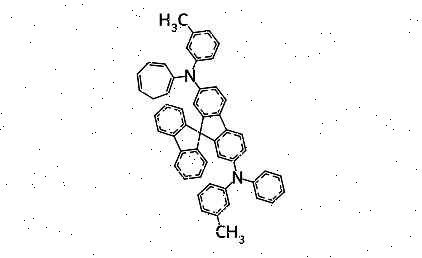 Cc1cccc(N(C2=CCC=CC=C2)c2ccc3c(c2)C2(c4ccccc4-c4ccccc42)c2cc(N(c4ccccc4)c4cccc(C)c4)ccc2-3)c1